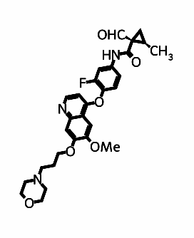 COc1cc2c(Oc3ccc(NC(=O)[C@]4(C=O)C[C@H]4C)cc3F)ccnc2cc1OCCCN1CCOCC1